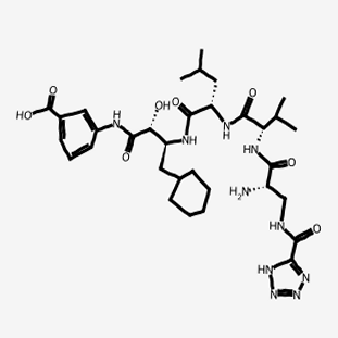 CC(C)C[C@H](NC(=O)[C@@H](NC(=O)[C@@H](N)CNC(=O)c1nnn[nH]1)C(C)C)C(=O)N[C@@H](CC1CCCCC1)[C@@H](O)C(=O)Nc1cccc(C(=O)O)c1